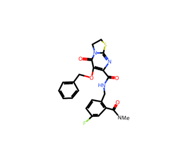 CNC(=O)c1cc(F)ccc1CNC(=O)c1nc2n(c(=O)c1OCc1ccccc1)CCS2